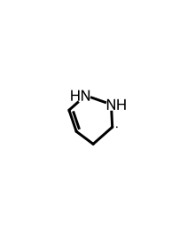 [CH]1CC=CNN1